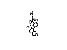 CN(C)CCNC(=O)c1cccc2c1[nH]c1ccc3ccncc3c12